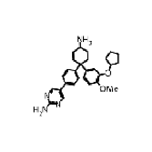 COc1ccc(C2(c3ccc(-c4cnc(N)nc4)cc3)CCC(N)CC2)cc1OC1CCCC1